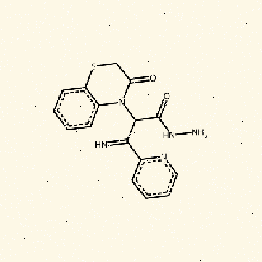 N=C(c1ccccn1)C(C(=O)NN)N1C(=O)CSc2ccccc21